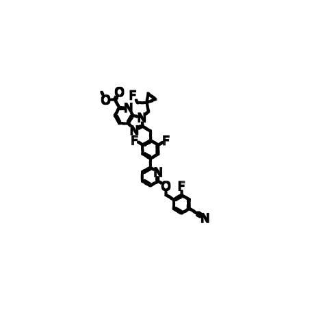 COC(=O)c1ccc2nc(Cc3c(F)cc(-c4cccc(OCc5ccc(C#N)cc5F)n4)cc3F)n(CC3(CF)CC3)c2n1